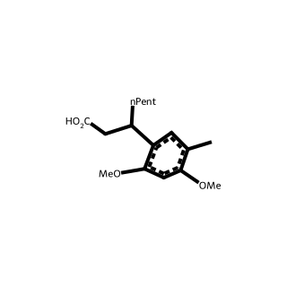 CCCCCC(CC(=O)O)c1cc(C)c(OC)cc1OC